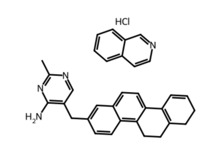 Cc1ncc(Cc2ccc3c4c(ccc3c2)C2=C(CCC=C2)CC4)c(N)n1.Cl.c1ccc2cnccc2c1